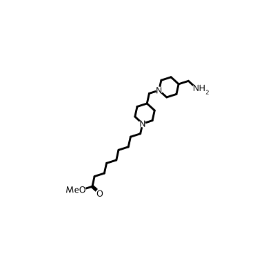 COC(=O)CCCCCCCCN1CCC(CN2CCC(CN)CC2)CC1